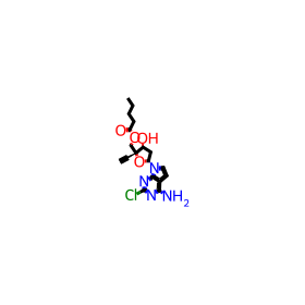 C#C[C@]1(COC(=O)CCCC)O[C@@H](n2ccc3c(N)nc(Cl)nc32)C[C@@H]1O